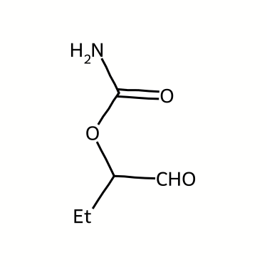 CCC(C=O)OC(N)=O